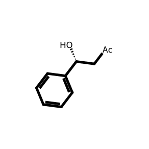 CC(=O)C[C@@H](O)c1ccccc1